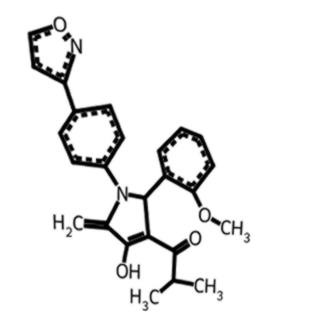 C=C1C(O)=C(C(=O)C(C)C)C(c2ccccc2OC)N1c1ccc(-c2ccon2)cc1